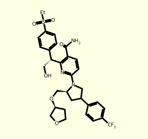 CCS(=O)(=O)c1ccc([C@@H](CO)c2nc(N3CC(c4ccc(C(F)(F)F)cc4)C[C@H]3CO[C@H]3CCOC3)ccc2C(N)=O)cc1